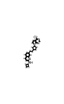 Clc1ncnc2c1ccn2C1CCC(CCc2ccc3ccc(NC4CCC4)nc3c2)C1